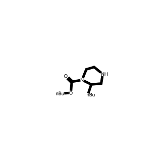 CCCCOC(=O)N1CCNCC1CCCC